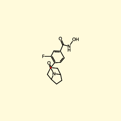 O=C1CC2CCC(C1)N2Cc1ccc(C(=O)NO)cc1F